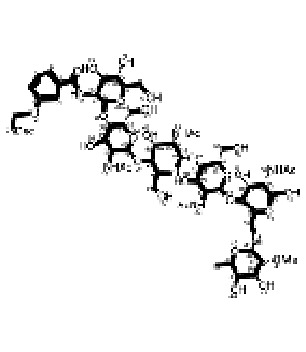 CCCCCCCCCCCOc1cccc(C(=O)N[C@@H]2C(O[C@H]3C(O)C(NC(C)=O)[C@H](OC4C(CO)O[C@@H](O[C@H]5C(O)C(NC(C)=O)C(OC6C(CO[C@@H]7OC(C)C(O)[C@H](O)[C@H]7OC)OC(O)[C@@H](NC(C)=O)[C@H]6O)O[C@H]5CO)[C@@H](NC(C)=O)[C@H]4O)O[C@H]3CO)OC(CO)[C@@H](O)[C@@H]2O)c1